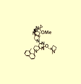 COCC1(N=C=N[C@@H]2CCN(c3nc(OC[C@@H]4CCCN4C)nc4c3CCN(c3cccc5cccc(C)c35)C4)C[C@@H]2CC#N)CC1